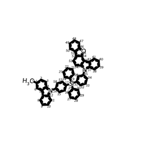 Cc1ccc2c(c1)c1ccccc1n2-c1ccc([Si](c2ccccc2)(c2ccccc2)c2cccc(-n3c4ccccc4c4c5oc6ccccc6c5ccc43)c2)cc1